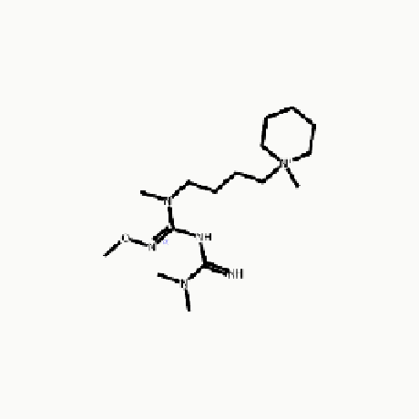 CO/N=C(/NC(=N)N(C)C)N(C)CCCC[N+]1(C)CCCCC1